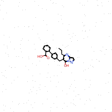 CCCc1nc2ccnn2c(O)c1Cc1ccc(-c2ccccc2C(=O)O)cc1